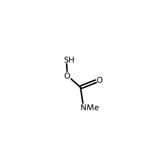 CNC(=O)OS